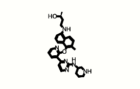 Cc1ccc2c(NCC[C@H](C)O)cccc2c1Oc1ncccc1-c1ccnc(NC2CCCNC2)n1